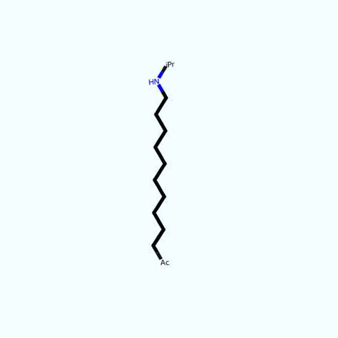 CC(=O)CCCCCCCCCCNC(C)C